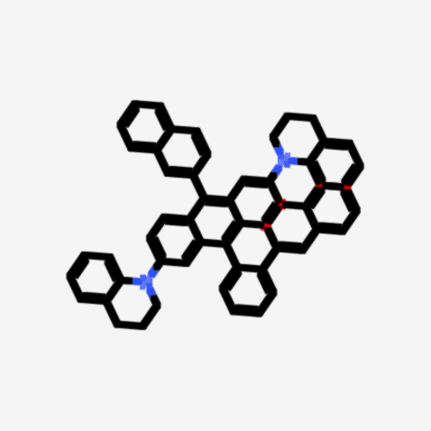 C1=C(c2ccccc2-c2c3ccc(N4CCCc5ccccc54)cc3c(-c3ccc4ccccc4c3)c3ccc(N4CCCc5ccccc54)cc23)CCc2ccccc21